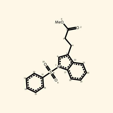 COC(=O)CCc1cn(S(=O)(=O)c2ccccc2)c2ccccc12